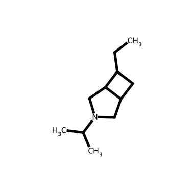 CCC1CC2CN(C(C)C)CC12